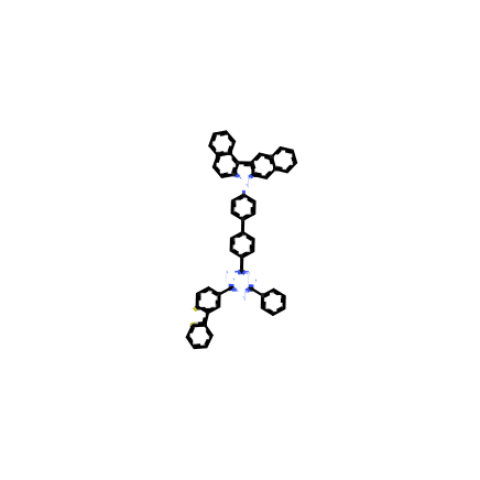 c1ccc(-c2nc(-c3ccc(-c4ccc(-n5c6cc7ccccc7cc6c6c7ccccc7ccc65)cc4)cc3)nc(-c3ccc4sc5ccccc5c4c3)n2)cc1